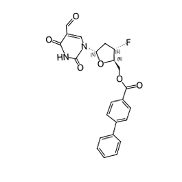 O=Cc1cn([C@@H]2C[C@H](F)[C@@H](COC(=O)c3ccc(-c4ccccc4)cc3)O2)c(=O)[nH]c1=O